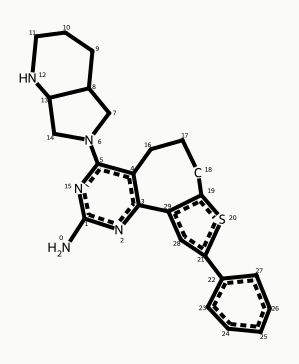 Nc1nc2c(c(N3CC4CCCNC4C3)n1)CCCc1sc(-c3ccccc3)cc1-2